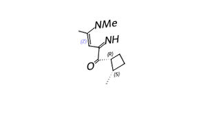 CN/C(C)=C\C(=N)C(=O)[C@@H]1CC[C@@H]1C